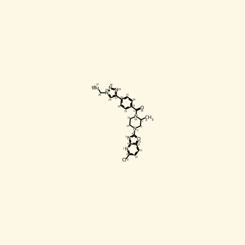 CC1CN(c2nc3nc(Cl)ccc3o2)CCN1C(=O)c1ccc(-c2cn(CC(C)(C)C)nn2)cc1